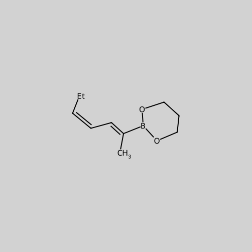 CC/C=C\C=C(/C)B1OCCCO1